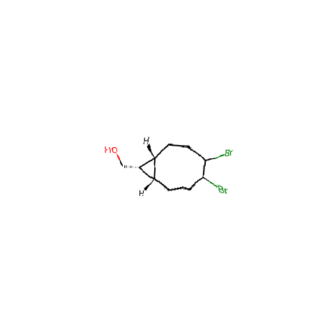 OC[C@H]1[C@H]2CCC(Br)C(Br)CC[C@@H]12